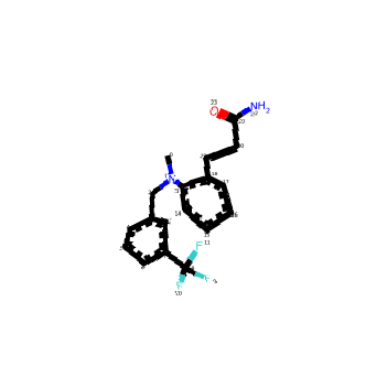 CN(Cc1cccc(C(F)(F)F)c1)c1ccccc1C=CC(N)=O